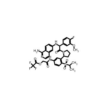 COc1cc(C(Nc2ccc3c(N)nccc3c2)C(=O)N2CCCC2c2cc(NC(=O)COC(=O)C(F)(F)F)ccc2S(=O)(=O)C(C)C)ccc1F